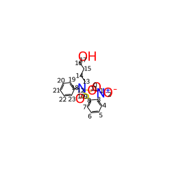 O=[N+]([O-])c1ccccc1S(=O)(=O)N(CCCCO)c1ccccc1